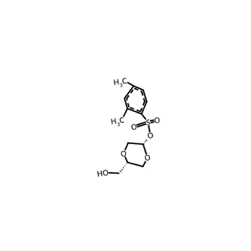 Cc1ccc(S(=O)(=O)O[C@H]2CO[C@@H](CO)CO2)c(C)c1